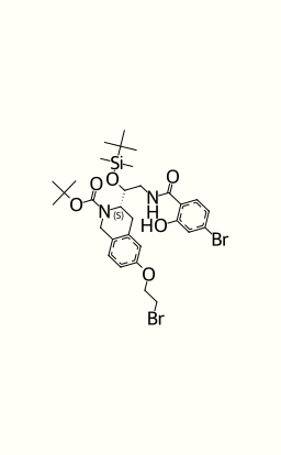 CC(C)(C)OC(=O)N1Cc2ccc(OCCBr)cc2C[C@H]1C(CNC(=O)c1ccc(Br)cc1O)O[Si](C)(C)C(C)(C)C